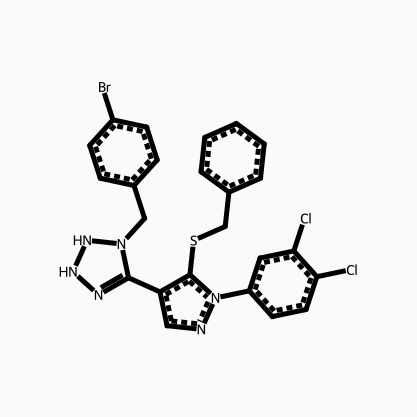 Clc1ccc(-n2ncc(C3=NNNN3Cc3ccc(Br)cc3)c2SCc2ccccc2)cc1Cl